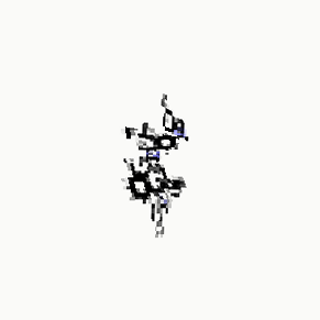 CO/N=C(/C)c1ccc(/C(C)=N/OCc2c(C)cccc2/C(=N\OC)C(=O)OC)c(C(F)(F)F)c1